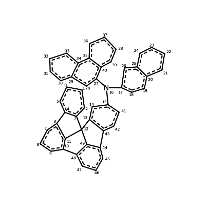 c1ccc2c(c1)-c1cccc3c1C21c2cc(N(c4ccc5ccccc5c4)c4cc5ccccc5c5ccccc45)ccc2-c2cccc-3c21